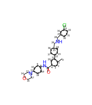 Cc1ccc(C(=O)Nc2ccc(N3CCOCC3)cc2)cc1-c1ccc(CNCc2cccc(Cl)c2)cc1